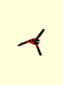 CCCCCCCCCCCCCCC(CCC)OC(C)OP(=O)(OC(C)OC(CCC)CCCCCCCCCCCCCC)OC(C)OC(CCC)CCCCCCCCCCCCCC